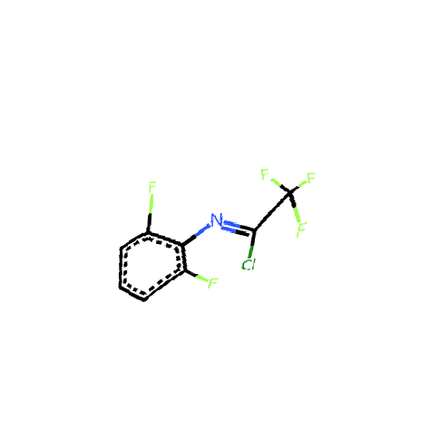 Fc1cccc(F)c1N=C(Cl)C(F)(F)F